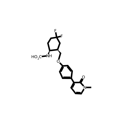 Cn1cccc(-c2ccc(OC[C@@H]3CC(F)(F)CC[C@@H]3NC(=O)O)cc2)c1=O